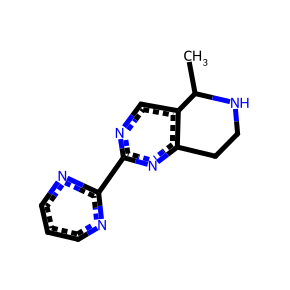 CC1NCCc2nc(-c3ncccn3)ncc21